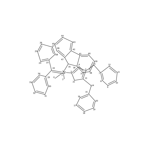 [CH3][Zr]([CH3])([C]1=CC(Cc2ccccc2)=C(Cc2ccccc2)C1)(=[C](c1ccccc1)c1ccccc1)[CH]1c2ccccc2-c2ccccc21